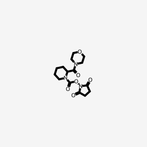 O=C(C1CCCCN1C(=O)ON1C(=O)CCC1=O)N1CCOCC1